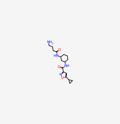 NCCCC(=O)NC1CCCC(NC(=O)c2cc(C3CC3)on2)C1